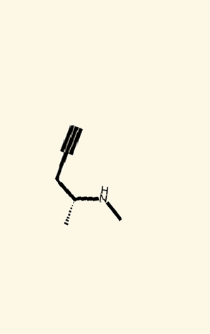 C#CC[C@@H](C)NC